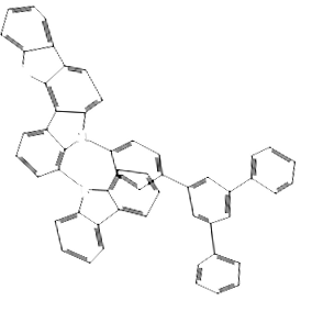 c1ccc(-c2cc(-c3ccccc3)cc(-c3ccc(-n4c5ccc6c7ccccc7oc6c5c5cccc(-n6c7ccccc7c7ccccc76)c54)cc3)c2)cc1